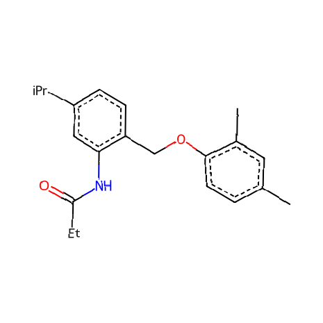 CCC(=O)Nc1cc(C(C)C)ccc1COc1ccc(C)cc1C